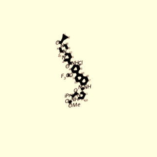 COC(=O)N[C@H](C(=O)N1C[C@@H](C)C[C@H]1c1nc2c(ccc3cc(-c4cc(Cl)c(NC(=O)c5ccc(N6CCN(C(=O)C7CC7)C[C@H]6C)nc5)cc4OC(F)(F)F)ccc32)[nH]1)C(C)C